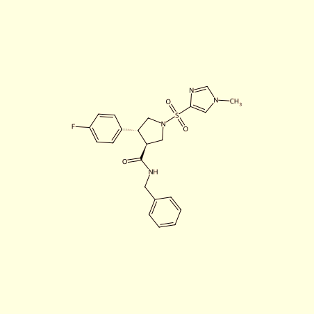 Cn1cnc(S(=O)(=O)N2C[C@@H](C(=O)NCc3ccccc3)[C@H](c3ccc(F)cc3)C2)c1